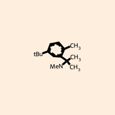 CNC(C)(C)c1cc(C(C)(C)C)ccc1C